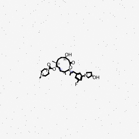 C/C(=C\c1cc(F)cc(N2CC[C@@H](O)C2)c1)[C@H]1OC(=O)C[C@H](O)CC[C@H](C)[C@@H](OC(=O)N2CCN(C)CC2)/C=C/[C@@H]1C